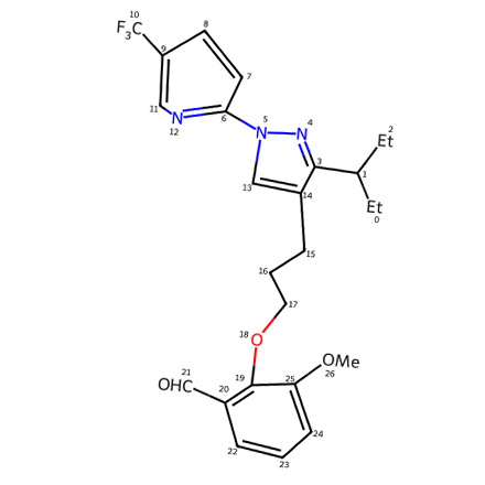 CCC(CC)c1nn(-c2ccc(C(F)(F)F)cn2)cc1CCCOc1c(C=O)cccc1OC